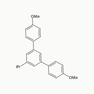 COc1ccc(-c2cc(-c3ccc(OC)cc3)cc(C(C)C)c2)cc1